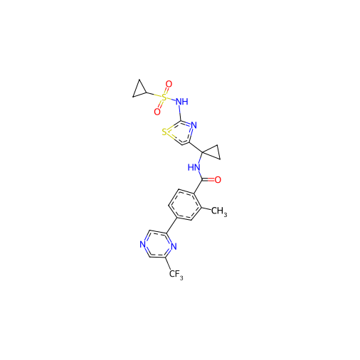 Cc1cc(-c2cncc(C(F)(F)F)n2)ccc1C(=O)NC1(c2csc(NS(=O)(=O)C3CC3)n2)CC1